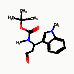 CN(C(=O)OC(C)(C)C)C(CC=O)c1cn(C)c2ccccc12